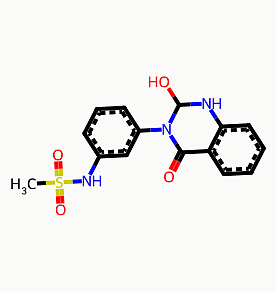 CS(=O)(=O)Nc1cccc(N2C(=O)c3ccccc3NC2O)c1